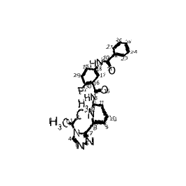 CC(C)n1cnnc1-c1cccc(NC(=O)c2cc(NC(=O)c3ccccc3)ccc2F)n1